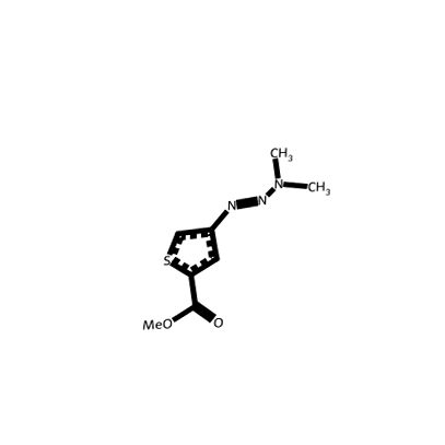 COC(=O)c1cc(N=NN(C)C)cs1